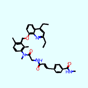 CCc1cc(CC)c2cccc(OCc3c(C)ccc(N(C)C(=O)CNC(=O)/C=C/c4ccc(C(=O)NC)cc4)c3C)c2n1